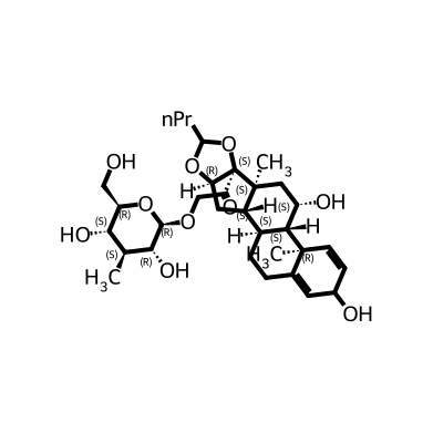 CCCC1O[C@@H]2C[C@H]3[C@@H]4CCC5=CC(O)C=C[C@]5(C)[C@H]4[C@@H](O)C[C@]3(C)[C@]2(C(=O)CO[C@@H]2O[C@H](CO)[C@@H](O)[C@H](C)[C@H]2O)O1